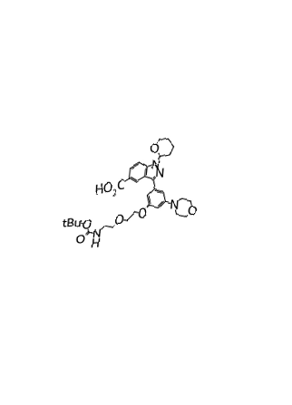 CC(C)(C)OC(=O)NCCOCCOc1cc(-c2nn(C3CCCCO3)c3ccc(C(=O)O)cc23)cc(N2CCOCC2)c1